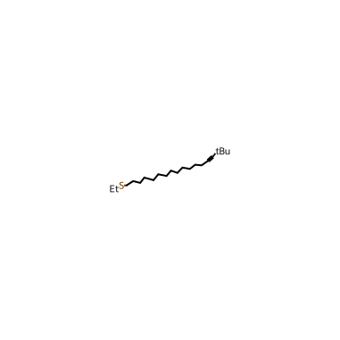 CCSCCCCCCCCCCCCCC#CC(C)(C)C